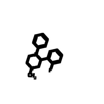 CN1CCN(c2ccccc2)C(c2ccccc2F)C1